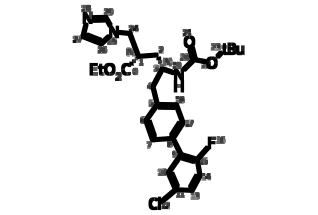 CCOC(=O)[C@@H](C[C@@H](Cc1ccc(-c2cc(Cl)ccc2F)cc1)NC(=O)OC(C)(C)C)Cn1ccnc1